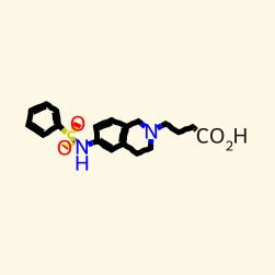 O=C(O)CCCN1CCc2cc(NS(=O)(=O)c3ccccc3)ccc2C1